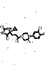 C[C@H]1CN(C(=O)CCC2(C3CC3)NC(=O)NC2=O)CCN1c1ccc(F)c(Cl)c1